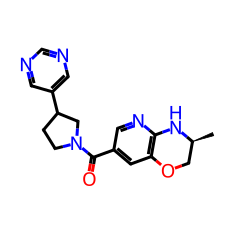 C[C@H]1COc2cc(C(=O)N3CCC(c4cncnc4)C3)cnc2N1